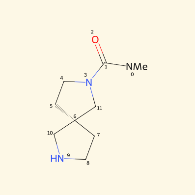 CNC(=O)N1CC[C@@]2(CCNC2)C1